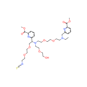 CCN(CCOCCOCCN(CCOCCO)C(COCCOCCN=C=S)c1cccc(C(=O)OC)n1)Cc1cccc(C(=O)OC)n1